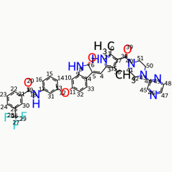 Cc1[nH]c(C=C2C(=O)Nc3cc(Oc4cccc(NC(=O)c5cccc(C(F)(F)F)c5)c4)ccc32)c(C)c1C(=O)N1CCN(c2cnccn2)CC1